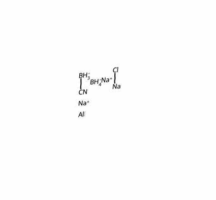 [Al].[BH3-]C#N.[BH4-].[Na+].[Na+].[Na][Cl]